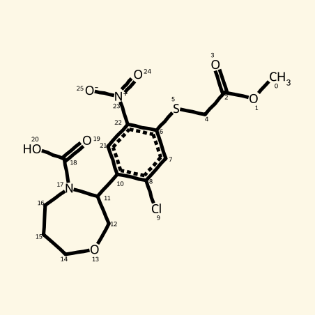 COC(=O)CSc1cc(Cl)c(C2COCCCN2C(=O)O)cc1[N+](=O)[O-]